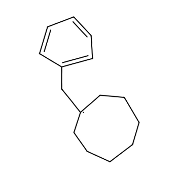 c1ccc(C[C]2CCCCCCC2)cc1